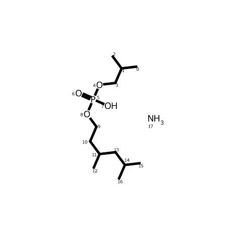 CC(C)COP(=O)(O)OCCC(C)CC(C)C.N